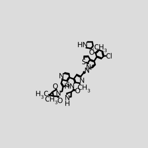 Cc1cc(Cl)cc(-c2cc[n+]([N+]#Cc3cc(-c4ccnc5cc(CN6C(=O)C7C(C6=O)C7(C)C)sc45)c(NC(=O)C4CNC4)c(C)n3)c3sccc23)c1O[C@H]1CCCNC1